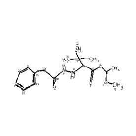 COC(C)OC(=O)C(NNC(=O)Cc1ccccc1)C(C)(C)S